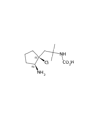 CC(C)(C[C@@]1(Cl)CCC[C@@H]1N)NC(=O)O